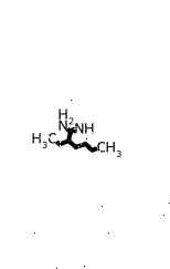 CCCCC(CC)C(=N)N